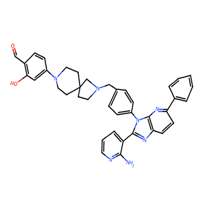 Nc1ncccc1-c1nc2ccc(-c3ccccc3)nc2n1-c1ccc(CN2CCC3(CCN(c4ccc(C=O)c(O)c4)CC3)C2)cc1